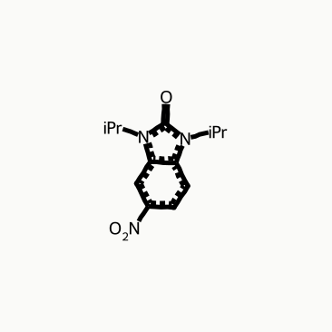 CC(C)n1c(=O)n(C(C)C)c2cc([N+](=O)[O-])ccc21